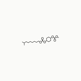 COC(=O)OC1CCC(OC(=O)OCCCCCCCC(C)C)CC1